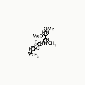 COc1ncc(-c2cc(N3CC(Oc4ccnc(C5(C(F)(F)F)CC5)c4)C(F)(F)C3)nc(C)n2)c(OC)n1